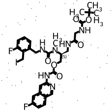 CN(C(=O)NCc1cccc(F)c1CI)[C@@H](CNC(=O)CNC(=O)OC(C)(C)C)COC(=O)Nc1cc2cc(F)ccc2cn1